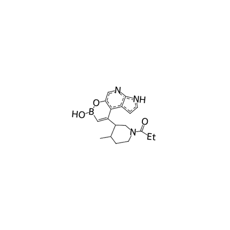 CCC(=O)N1CCC(C)C(C2=CB(O)Oc3cnc4[nH]ccc4c32)C1